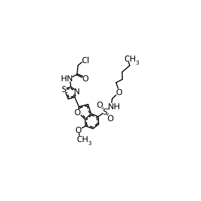 CCCCCOCNS(=O)(=O)c1ccc(OC)c2oc(-c3csc(NC(=O)CCl)n3)cc12